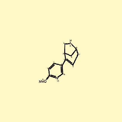 COc1ccc(C2=CCC3CC2CN3)cn1